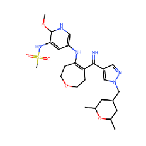 COC1NC=C(NC2=C(C(=N)c3cnn(CC4CC(C)OC(C)C4)c3)CCOCC2)C=C1NS(C)(=O)=O